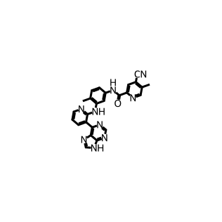 Cc1cnc(C(=O)Nc2ccc(C)c(Nc3ncccc3-c3ncnc4[nH]cnc34)c2)cc1C#N